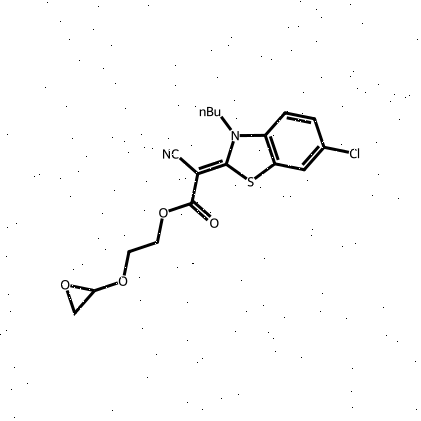 CCCCN1/C(=C(\C#N)C(=O)OCCOC2CO2)Sc2cc(Cl)ccc21